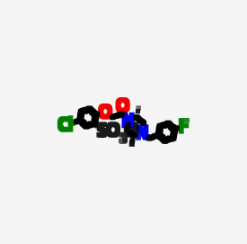 C[C@@H]1CN(Cc2ccc(F)cc2)[C@@H](C)CN1C(=O)COc1ccc(Cl)cc1S(=O)(=O)O